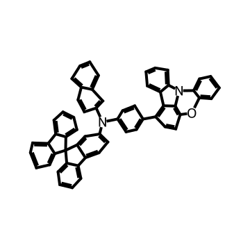 c1ccc2c(c1)Oc1ccc(-c3ccc(N(c4ccc5c(c4)C4(c6ccccc6-c6ccccc64)c4ccccc4-5)c4ccc5ccccc5c4)cc3)c3c4ccccc4n-2c13